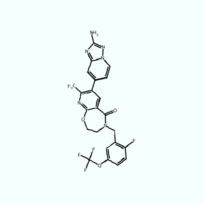 Cc1nc2c(cc1-c1ccn3nc(N)nc3c1)C(=O)N(Cc1cc(OC(F)(F)F)ccc1F)CCO2